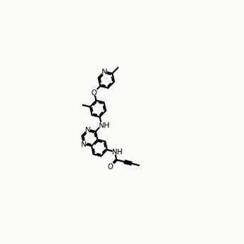 CC#CC(=O)Nc1ccc2ncnc(Nc3ccc(Oc4ccc(C)nc4)c(C)c3)c2c1